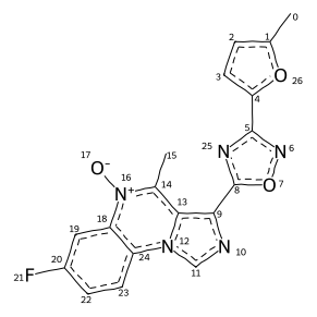 Cc1ccc(-c2noc(-c3ncn4c3c(C)[n+]([O-])c3cc(F)ccc34)n2)o1